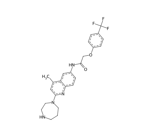 Cc1cc(N2CCCNCC2)nc2ccc(NC(=O)COc3ccc(C(F)(F)F)cc3)cc12